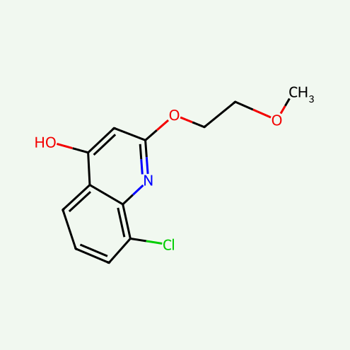 COCCOc1cc(O)c2cccc(Cl)c2n1